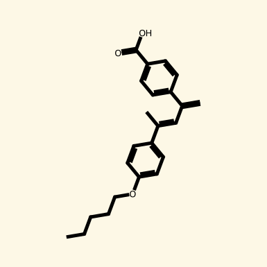 C=C(/C=C(\C)c1ccc(OCCCCC)cc1)c1ccc(C(=O)O)cc1